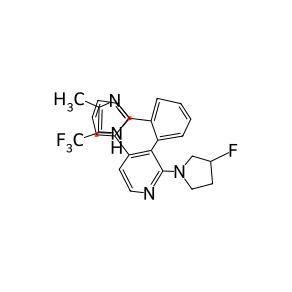 Cc1nc(-c2ccccc2-c2c(-c3ccccc3)ccnc2N2CCC(F)C2)[nH]c1C(F)(F)F